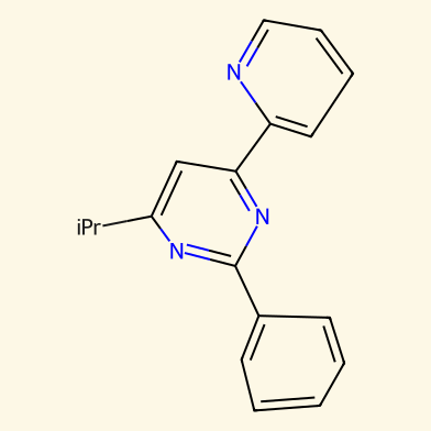 CC(C)c1cc(-c2ccccn2)nc(-c2ccccc2)n1